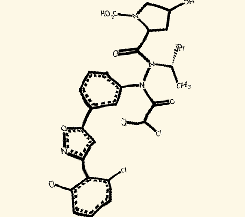 CC(C)[C@H](C)N(C(=O)C1CC(O)CN1C(=O)O)N(C(=O)C(Cl)Cl)c1cccc(-c2cc(-c3c(Cl)cccc3Cl)no2)c1